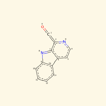 O=C=c1nccc2c1=Nc1ccccc1-2